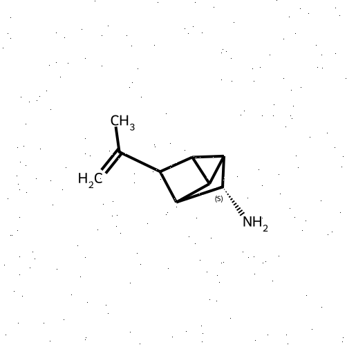 C=C(C)C1C2C3C1[C@@H](N)C23